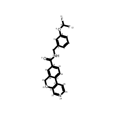 O=C(NCc1cccc(OC(F)F)c1)c1ccc2c(c1)COc1cnccc1-2